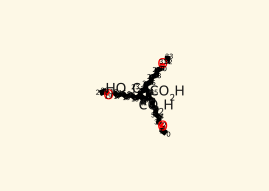 C=COCCCCCCc1c(C(=O)O)c(CCCCCCOC=C)c(C(=O)O)c(CCCCCCOC=C)c1C(=O)O